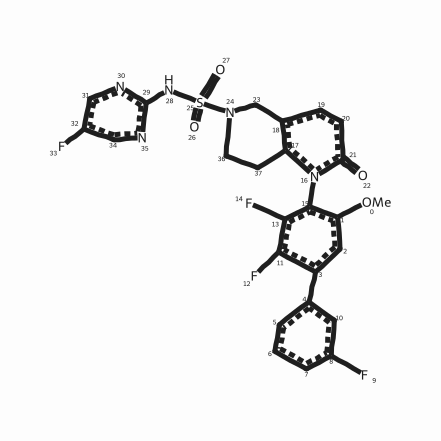 COc1cc(-c2cccc(F)c2)c(F)c(F)c1-n1c2c(ccc1=O)CN(S(=O)(=O)Nc1ncc(F)cn1)CC2